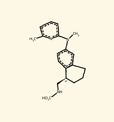 Cc1cccc(N(C)c2ccc3c(c2)CCC[C@H]3CNC(=O)O)n1